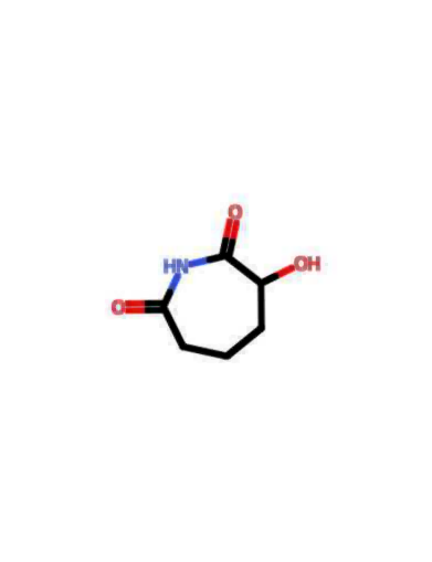 O=C1CCCC(O)C(=O)N1